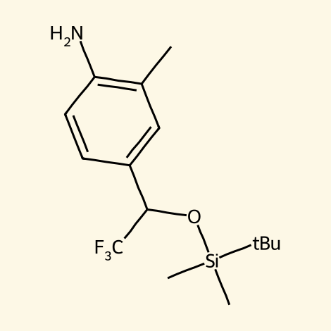 Cc1cc(C(O[Si](C)(C)C(C)(C)C)C(F)(F)F)ccc1N